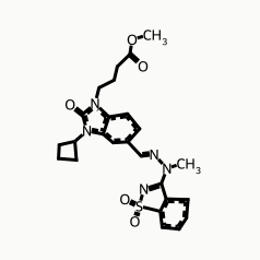 COC(=O)CCCn1c(=O)n(C2CCC2)c2cc(/C=N/N(C)C3=NS(=O)(=O)c4ccccc43)ccc21